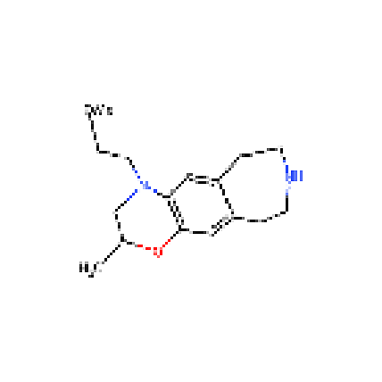 COCCN1CC(C)Oc2cc3c(cc21)CCNCC3